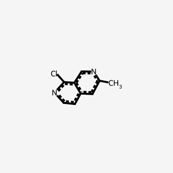 Cc1cc2ccnc(Cl)c2cn1